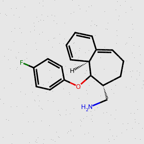 NC[C@H]1CCC=C2C=CC=C[C@@H]2C1Oc1ccc(F)cc1